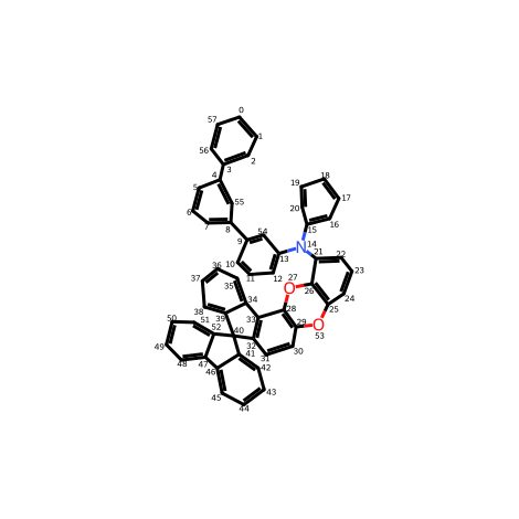 c1ccc(-c2cccc(-c3cccc(N(c4ccccc4)c4cccc5c4Oc4c(ccc6c4-c4ccccc4C64c6ccccc6-c6ccccc64)O5)c3)c2)cc1